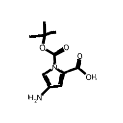 CC(C)(C)OC(=O)n1cc(N)cc1C(=O)O